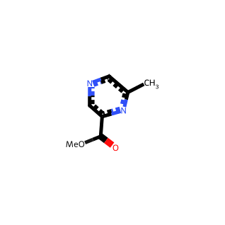 COC(=O)c1cn[c]c(C)n1